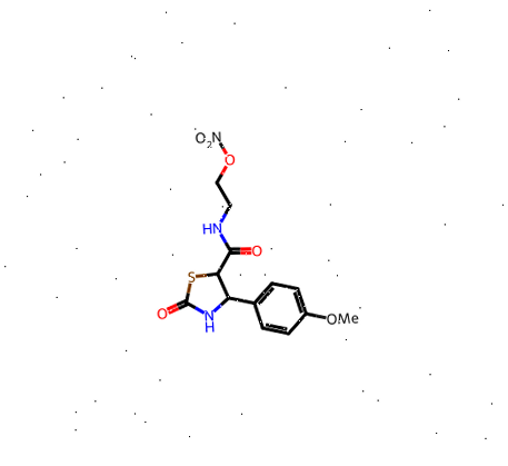 COc1ccc(C2NC(=O)SC2C(=O)NCCO[N+](=O)[O-])cc1